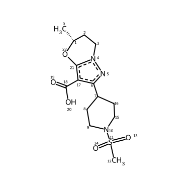 C[C@@H]1CCn2nc(C3CCN(S(C)(=O)=O)CC3)c(C(=O)O)c2O1